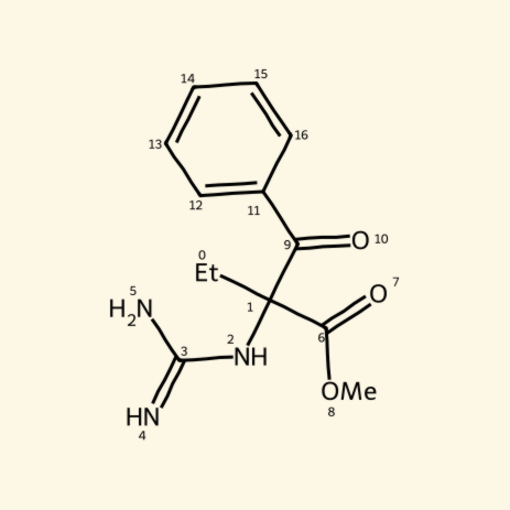 CCC(NC(=N)N)(C(=O)OC)C(=O)c1ccccc1